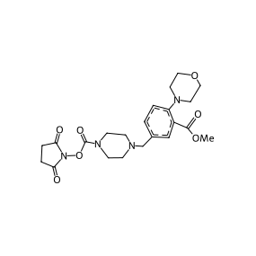 COC(=O)c1cc(CN2CCN(C(=O)ON3C(=O)CCC3=O)CC2)ccc1N1CCOCC1